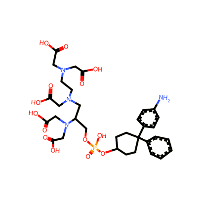 Nc1ccc(C2(c3ccccc3)CCC(OP(=O)(O)OCC(CN(CCN(CC(=O)O)CC(=O)O)CC(=O)O)N(CC(=O)O)CC(=O)O)CC2)cc1